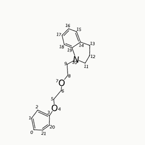 c1ccc(OCCOCCN2CCCc3ccccc32)cc1